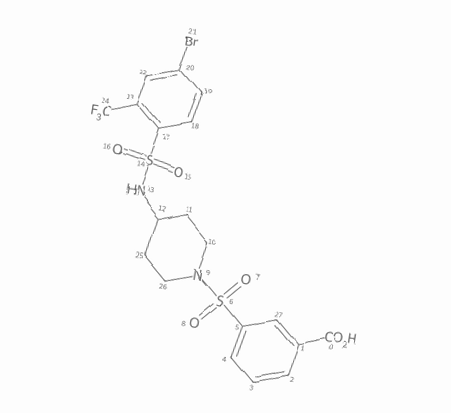 O=C(O)c1cccc(S(=O)(=O)N2CCC(NS(=O)(=O)c3ccc(Br)cc3C(F)(F)F)CC2)c1